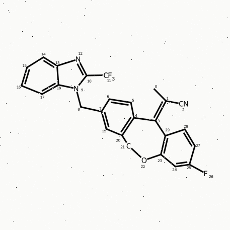 CC(C#N)=C1c2ccc(Cn3c(C(F)(F)F)nc4ccccc43)cc2COc2cc(F)ccc21